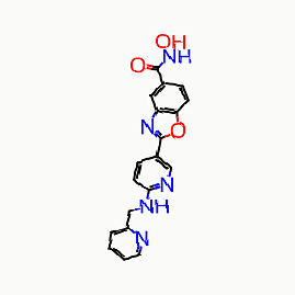 O=C(NO)c1ccc2oc(-c3ccc(NCc4ccccn4)nc3)nc2c1